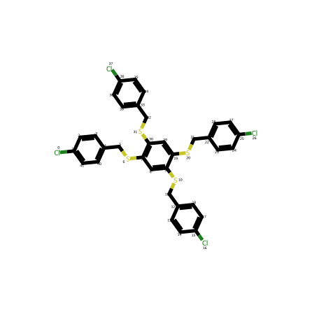 Clc1ccc(CSc2cc(SCc3ccc(Cl)cc3)c(SCc3ccc(Cl)cc3)cc2SCc2ccc(Cl)cc2)cc1